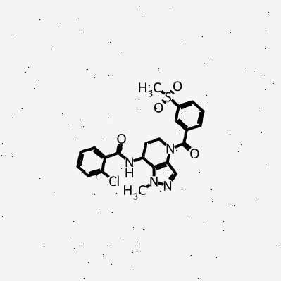 Cn1ncc2c1C(NC(=O)c1ccccc1Cl)CCN2C(=O)c1cccc(S(C)(=O)=O)c1